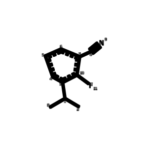 C[C](C)c1cccc(C#N)c1F